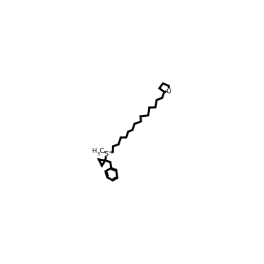 C[S+](CCCCCCCCCCCCCCCC1CCCO1)C1(Cc2ccccc2)CC1